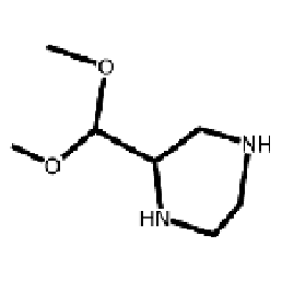 COC(OC)C1CNCCN1